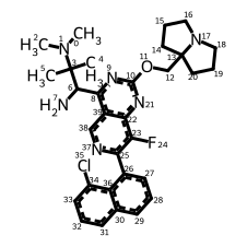 CN(C)C(C)(C)C(N)c1nc(OCC23CCCN2CCC3)nc2c(F)c(-c3cccc4cccc(Cl)c34)ncc12